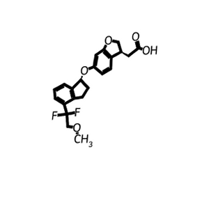 COCC(F)(F)c1cccc2c1CC[C@H]2Oc1ccc2c(c1)OC[C@H]2CC(=O)O